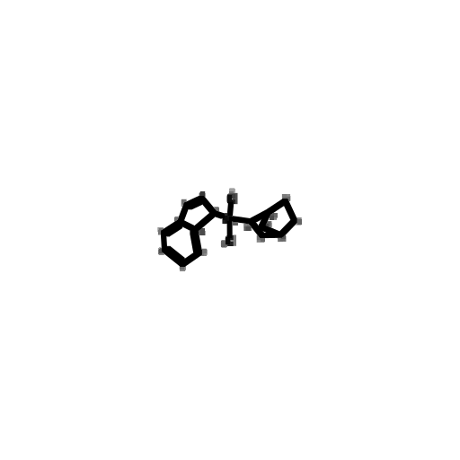 Cl[Si](Cl)(C1C=Cc2ccccc21)C1CC2CCC1C2